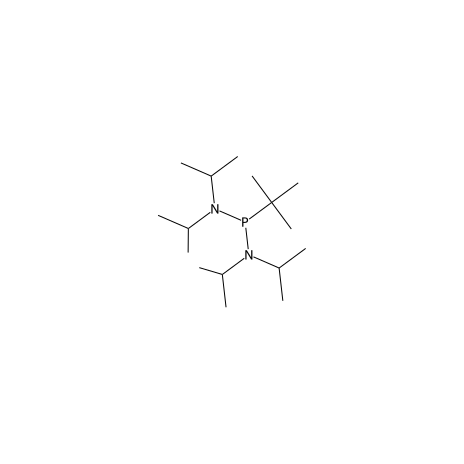 CC(C)N(C(C)C)P(N(C(C)C)C(C)C)C(C)(C)C